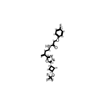 C=C(CCNC(=O)COc1ccc(F)cc1)c1nnc([C@H]2C[C@@H](OC(F)(F)F)C2)o1